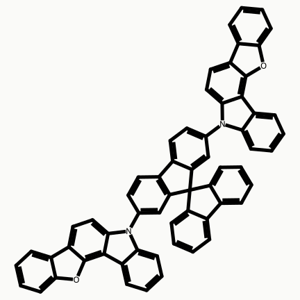 c1ccc2c(c1)-c1ccccc1C21c2cc(-n3c4ccccc4c4c5oc6ccccc6c5ccc43)ccc2-c2ccc(-n3c4ccccc4c4c5oc6ccccc6c5ccc43)cc21